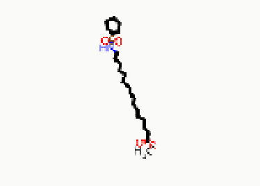 COC(=O)CCCCCCCCCCCCCCCNS(=O)(=O)C1CCCCC1